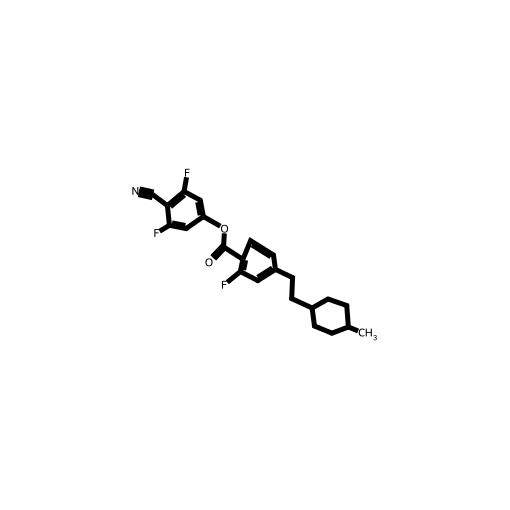 CC1CCC(CCc2ccc(C(=O)Oc3cc(F)c(C#N)c(F)c3)c(F)c2)CC1